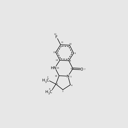 CC1(C)CCN2C(=O)c3ccc(F)cc3NC21